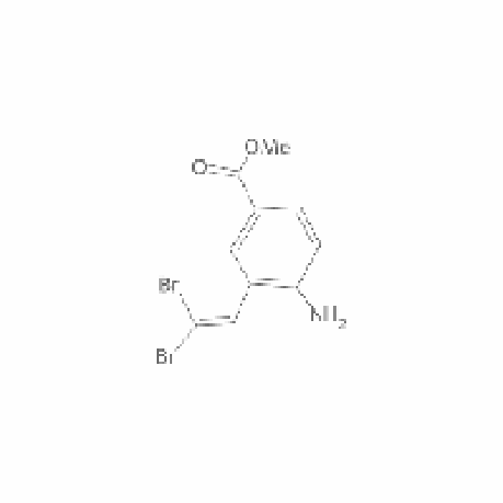 COC(=O)c1ccc(N)c(C=C(Br)Br)c1